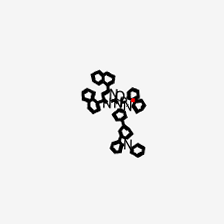 O=P1(c2ccccc2)N(c2ccccc2)c2cc(-c3ccc4c(c3)c3ccccc3n4-c3ccccc3)ccc2N1c1nc(-c2cccc3ccccc23)cc(-c2cccc3ccccc23)n1